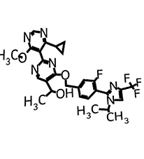 COc1ncnc(C2CC2)c1-c1ncc(C(C)O)c(OCc2ccc(-c3nc(C(F)(F)F)cn3C(C)C)c(F)c2)n1